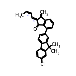 C=C1/C(=C\C=C/C)C(=O)c2c1cccc2-c1ccc2c(c1)C(C)(C)c1cc(Cl)ccc1-2